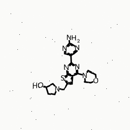 Nc1ncc(-c2nc(N3CCOCC3)c3cc(CN4CCC(O)C4)sc3n2)cn1